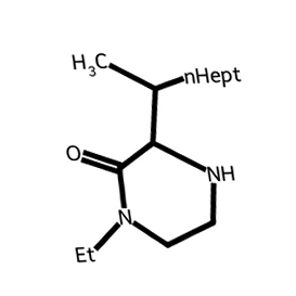 CCCCCCCC(C)C1NCCN(CC)C1=O